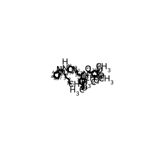 CCCCCn1c(NC2CCN(CCC(CN(C)C(=O)c3cc(OC)c(OC)c(OC)c3)c3ccc(OC)cc3)CC2)nc2ccccc21